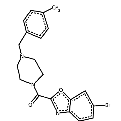 O=C(c1nc2ccc(Br)cc2o1)N1CCN(Cc2ccc(C(F)(F)F)cc2)CC1